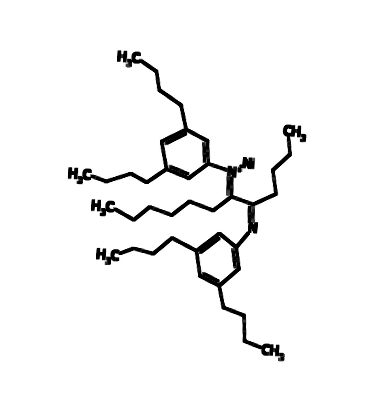 CCCCCCC(C(CCCC)=Nc1cc(CCCC)cc(CCCC)c1)=[N+]([Ni])c1cc(CCCC)cc(CCCC)c1